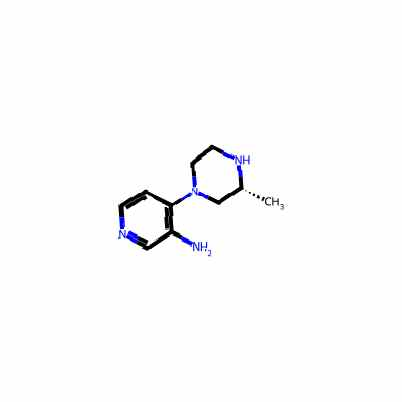 C[C@@H]1CN(c2ccncc2N)CCN1